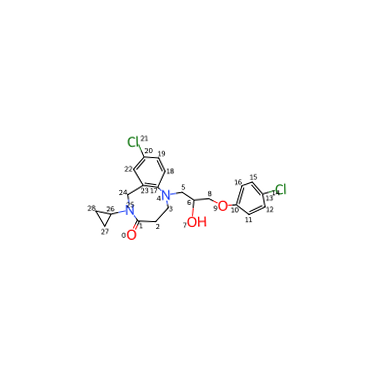 O=C1CCN(CC(O)COc2ccc(Cl)cc2)c2ccc(Cl)cc2CN1C1CC1